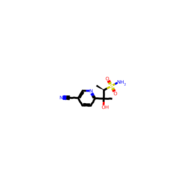 C[C@H](C(C)(O)c1ccc(C#N)cn1)S(N)(=O)=O